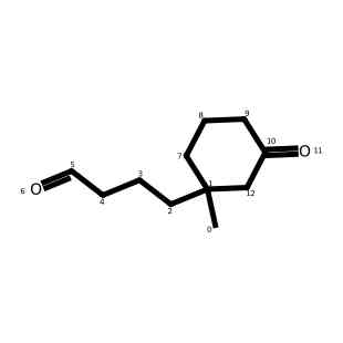 CC1(CCCC=O)CCCC(=O)C1